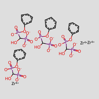 O=P([O-])([O-])C(O)P(=O)([O-])Oc1ccccc1.O=P([O-])([O-])C(O)P(=O)([O-])Oc1ccccc1.O=P([O-])([O-])C(O)P(=O)([O-])Oc1ccccc1.O=P([O-])([O-])C(O)P(=O)([O-])Oc1ccccc1.[Zr+4].[Zr+4].[Zr+4]